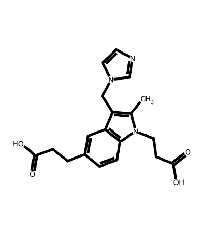 Cc1c(Cn2ccnc2)c2cc(CCC(=O)O)ccc2n1CCC(=O)O